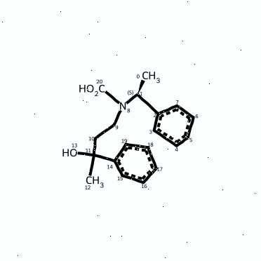 C[C@@H](c1ccccc1)N(CCC(C)(O)c1ccccc1)C(=O)O